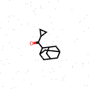 O=C(C1CC1)C1C2CC3CC(C2)CC1C3